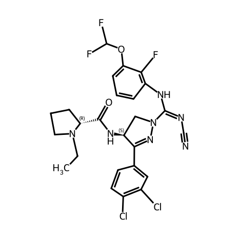 CCN1CCC[C@@H]1C(=O)N[C@H]1CN(C(=NC#N)Nc2cccc(OC(F)F)c2F)N=C1c1ccc(Cl)c(Cl)c1